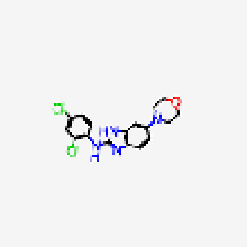 Clc1ccc(Nc2nc3ccc(N4CCOCC4)cc3[nH]2)c(Cl)c1